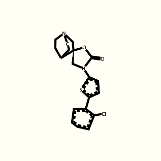 O=C1O[C@]2(CN3CCC2CC3)CN1c1ccc(-c2ccccc2Cl)s1